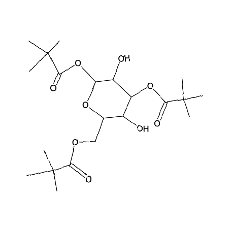 CC(C)(C)C(=O)OCC1OC(OC(=O)C(C)(C)C)C(O)C(OC(=O)C(C)(C)C)C1O